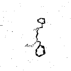 CC(=O)ON(CCNCc1ccccc1)Cc1ccccc1